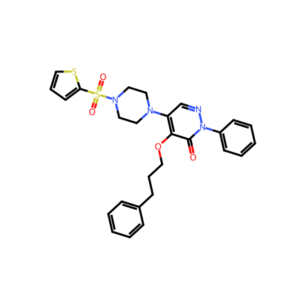 O=c1c(OCCCc2ccccc2)c(N2CCN(S(=O)(=O)c3cccs3)CC2)cnn1-c1ccccc1